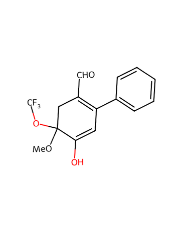 COC1(OC(F)(F)F)CC(C=O)=C(c2ccccc2)C=C1O